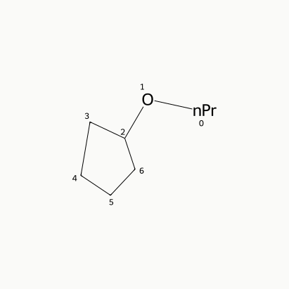 [CH2]CCOC1CCCC1